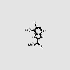 COC(=O)c1cc2ncc(F)c(C)c2s1